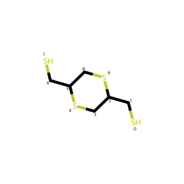 SCC1CSC(CS)CS1